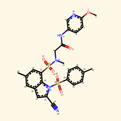 COc1ccc(NC(=O)CN(C)S(=O)(=O)c2cc(C)cc3cc(C#N)n(S(=O)(=O)c4ccc(C)cc4)c23)cn1